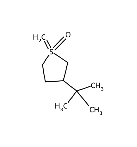 C=S1(=O)CCC(C(C)(C)C)C1